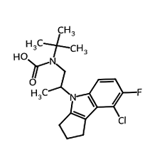 CC(CN(C(=O)O)C(C)(C)C)n1c2c(c3c(Cl)c(F)ccc31)CCC2